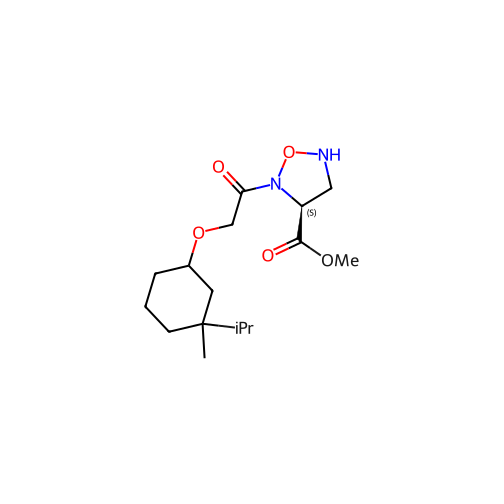 COC(=O)[C@@H]1CNON1C(=O)COC1CCCC(C)(C(C)C)C1